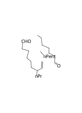 C=CC(CCC)CCCCCC=O.CCCCCC.CCCCCCC=O